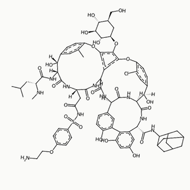 CN[C@H](CC(C)C)C(=O)N[C@H]1C(=O)N[C@@H](CC(=O)NS(=O)(=O)c2ccc(OCCN)cc2)C(=O)N[C@H]2C(=O)N[C@H]3C(=O)N[C@H](C(=O)N[C@H](C(=O)NC4C5CC6CC(C5)CC4C6)c4cc(O)cc(O)c4-c4cc3ccc4O)[C@H](O)c3ccc(c(Cl)c3)Oc3cc2cc(c3O[C@@H]2C[C@H](CO)[C@@H](O)[C@H](O)[C@H]2O)Oc2ccc(cc2C)[C@H]1O